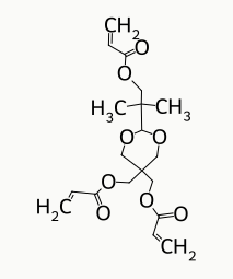 C=CC(=O)OCC1(COC(=O)C=C)COC(C(C)(C)COC(=O)C=C)OC1